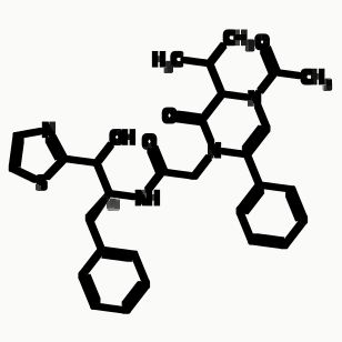 CC(=O)N1C=C(c2ccccc2)N(CC(=O)N[C@@H](Cc2ccccc2)C(O)c2nccs2)C(=O)C1C(C)C